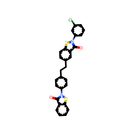 O=c1c2ccccc2sn1-c1ccc(CCc2ccc3sn(-c4cccc(Cl)c4)c(=O)c3c2)cc1